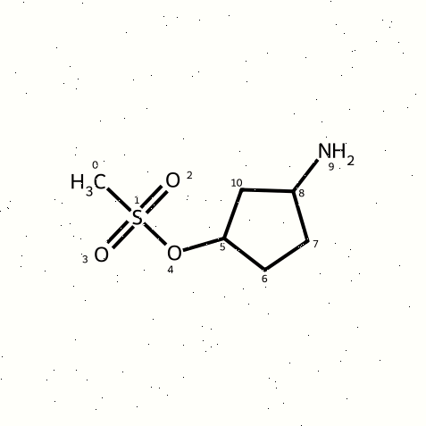 CS(=O)(=O)OC1CCC(N)C1